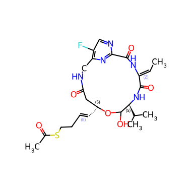 C/C=C1\NC(=O)c2ncc(F)c(n2)CNC(=O)C[C@@H](/C=C/CCSC(C)=O)OC(O)[C@H](C(C)C)NC1=O